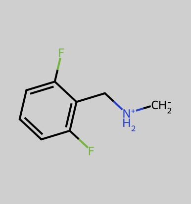 [CH2-][NH2+]Cc1c(F)cccc1F